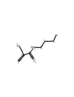 C=C(Cl)C(=O)NCCCC